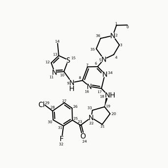 CCN1CCN(c2cc(Nc3ncc(C)s3)nc(N[C@H]3CCN(C(=O)c4ccc(Cl)cc4F)C3)n2)CC1